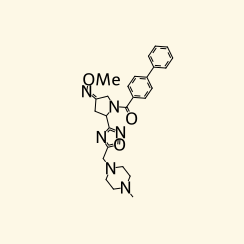 CON=C1CC(c2noc(CN3CCN(C)CC3)n2)N(C(=O)c2ccc(-c3ccccc3)cc2)C1